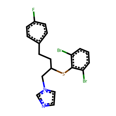 Fc1ccc(CCC(Cn2ccnc2)Sc2c(Br)cccc2Br)cc1